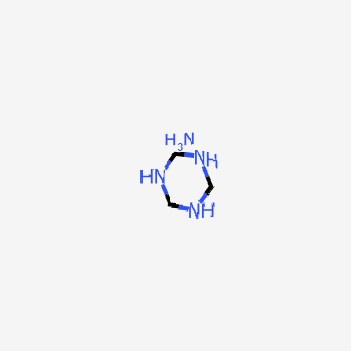 C1NCNCN1.N